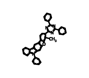 Cc1c(-c2nc(-c3ccccc3)nc(-c3ccccc3)n2)ccc2c1oc1cc3c(cc12)c1ccccc1n3-c1ccccc1